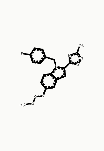 COOSc1ccc2c(c1)cc(-c1nc(C)no1)n2Cc1ccc(F)cc1